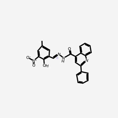 Cc1cc(/C=N/NC(=O)c2cc(-c3ccccc3)nc3ccccc23)c(O)c([N+](=O)[O-])c1